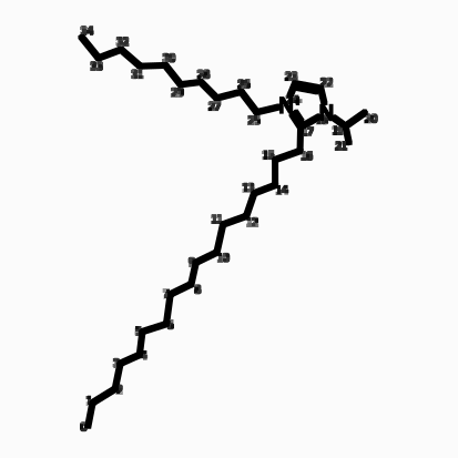 CCCCCCCCCCCCCCCCCc1n(C(C)C)cc[n+]1CCCCCCCCCC